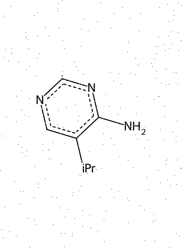 CC(C)c1cn[c]nc1N